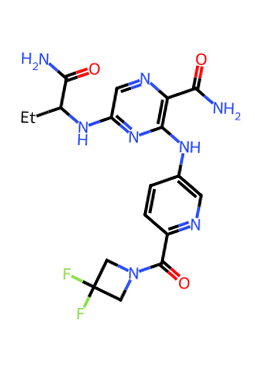 CCC(Nc1cnc(C(N)=O)c(Nc2ccc(C(=O)N3CC(F)(F)C3)nc2)n1)C(N)=O